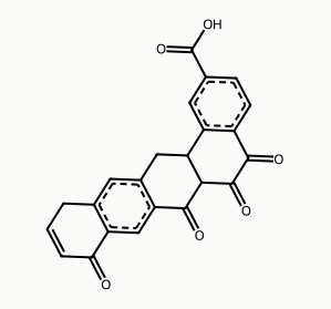 O=C(O)c1ccc2c(c1)C1Cc3cc4c(cc3C(=O)C1C(=O)C2=O)C(=O)C=CC4